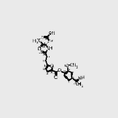 COc1cc(C(=N)N)ccc1OC(=O)c1ccc(CCC(=O)N[C@@H](CC(=O)O)C(C)=O)o1